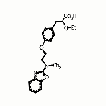 CCO[C@@H](Cc1ccc(OCCN(C)c2nc3ccccc3o2)cc1)C(=O)O